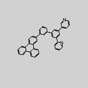 c1ccc(-c2cc(-c3cccnc3)cc(-c3cccc(-c4ccc5c6ccccc6c6ccccc6c5c4)c3)c2)nc1